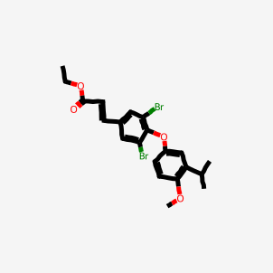 CCOC(=O)C=Cc1cc(Br)c(Oc2ccc(OC)c(C(C)C)c2)c(Br)c1